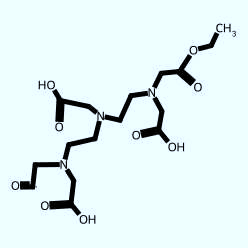 CCOC(=O)CN(CCN(CCN(C[C]=O)CC(=O)O)CC(=O)O)CC(=O)O